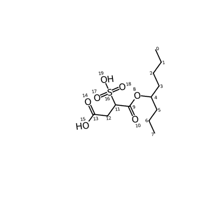 CCCCC(CCC)OC(=O)C(CC(=O)O)S(=O)(=O)O